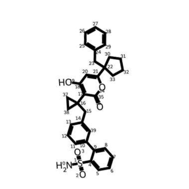 NS(=O)(=O)c1ccccc1-c1cccc(CC2(c3c(O)cc(C4(Cc5ccccc5)CCCC4)oc3=O)CC2)c1